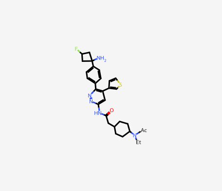 CCN(C(C)=O)C1CCC(CC(=O)Nc2cc(-c3ccsc3)c(-c3ccc(C4(N)CC(F)C4)cc3)nn2)CC1